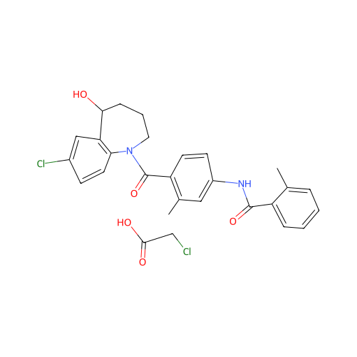 Cc1ccccc1C(=O)Nc1ccc(C(=O)N2CCCC(O)c3cc(Cl)ccc32)c(C)c1.O=C(O)CCl